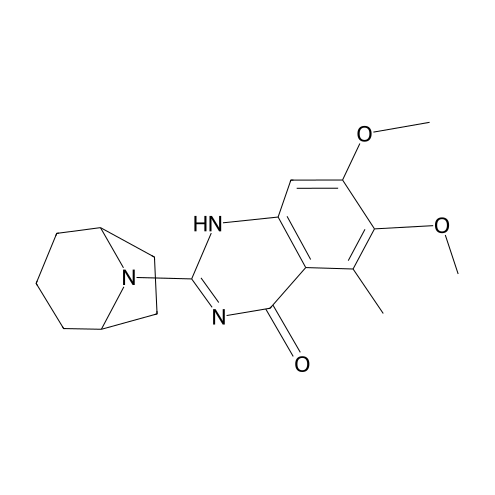 COc1cc2[nH]c(N3C4CCCC3CC4)nc(=O)c2c(C)c1OC